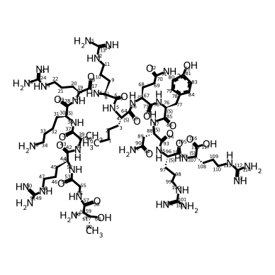 CCCC[C@H](NC(=O)[C@H](CCCNC(=N)N)NC(=O)[C@H](CCCNC(=N)N)NC(=O)[C@H](CCCCN)NC(=O)[C@H](C)NC(=O)[C@H](CCCNC(=N)N)NC(=O)CNC(=O)[C@@H](N)[C@@H](C)O)C(=O)N[C@@H](CCC(N)=O)C(=O)N[C@@H](Cc1ccc(O)cc1)C(=O)N[C@@H](CC(N)=O)C(=O)N[C@@H](CCCNC(=N)N)C(=O)N[C@@H](CCCNC(=N)N)C(=O)O